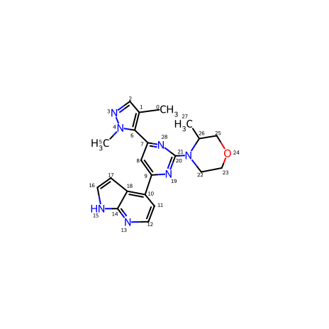 Cc1cnn(C)c1-c1cc(-c2ccnc3[nH]ccc23)nc(N2CCOCC2C)n1